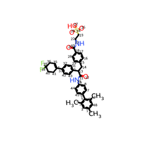 Cc1cc(C)c(-c2ccc(NC(=O)C(Cc3ccc(C(=O)NCCS(=O)(=O)O)cc3)c3ccc(C4=CCC(F)(F)CC4)cc3)cc2)c(C)c1